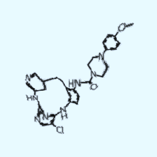 COc1ccc(N2CCN(C(=O)Nc3ccc4cc3CCC3C=NC=C(C3)Nc3ncc(Cl)c(n3)N4)CC2)cc1